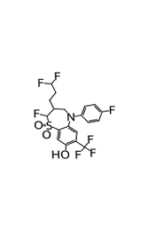 O=S1(=O)c2cc(O)c(C(F)(F)F)cc2N(c2ccc(F)cc2)CC(CCC(F)F)C1F